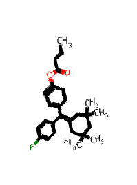 CCCC(=O)Oc1ccc(C(=C2CC(C)(C)CC(C)(C)C2)c2ccc(F)cc2)cc1